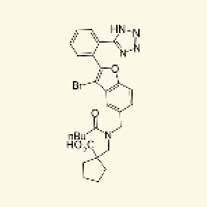 CCCCC(=O)N(Cc1ccc2oc(-c3ccccc3-c3nnn[nH]3)c(Br)c2c1)CC1(C(=O)O)CCCC1